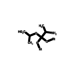 CCOC(OCC)(OC(C)C(=O)O)C(C)N